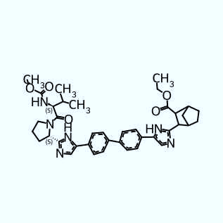 CCOC(=O)C1C2CCC(C2)C1c1ncc(-c2ccc(-c3ccc(-c4cnc([C@@H]5CCCN5C(=O)[C@@H](NC(=O)OC)C(C)C)[nH]4)cc3)cc2)[nH]1